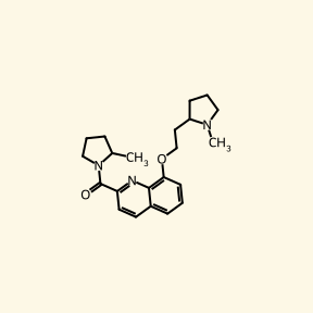 CC1CCCN1C(=O)c1ccc2cccc(OCCC3CCCN3C)c2n1